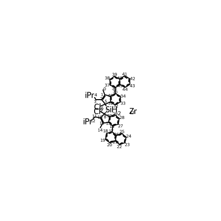 CC1=C(CC(C)C)C(Cl)([SiH2]C2(Cl)C(CC(C)C)=C(C)c3c(-c4cccc5ccccc45)cccc32)c2cccc(-c3cccc4ccccc34)c21.[Zr]